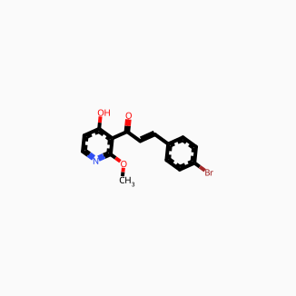 COc1nccc(O)c1C(=O)C=Cc1ccc(Br)cc1